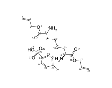 C=CCOC(=O)C(N)CSSC[C@H](N)C(=O)OCC=C.Cc1ccc(S(=O)(=O)O)cc1